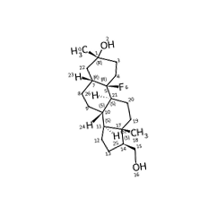 C[C@@]1(O)CC[C@@]2(F)[C@H](CC[C@H]3[C@@H]4CC[C@H](CO)[C@@]4(C)CC[C@@H]32)C1